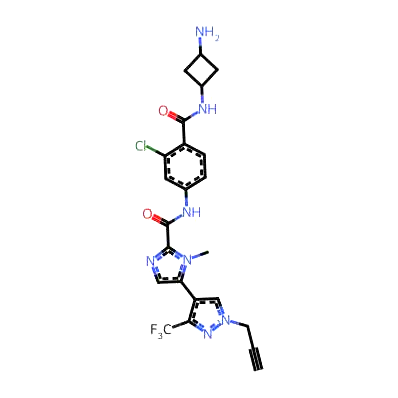 C#CCn1cc(-c2cnc(C(=O)Nc3ccc(C(=O)NC4CC(N)C4)c(Cl)c3)n2C)c(C(F)(F)F)n1